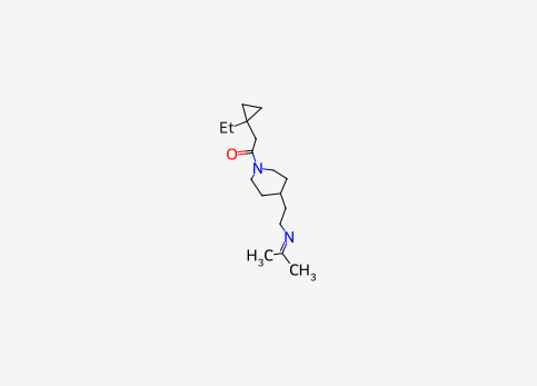 CCC1(CC(=O)N2CCC(CCN=C(C)C)CC2)CC1